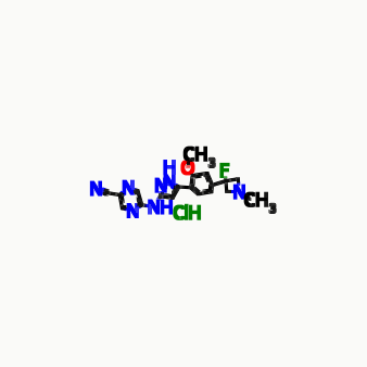 COc1cc(C2(F)CN(C)C2)ccc1-c1cc(Nc2cnc(C#N)cn2)n[nH]1.Cl